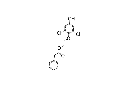 O=C(Cc1ccccc1)OCCOc1c(Cl)cc(O)cc1Cl